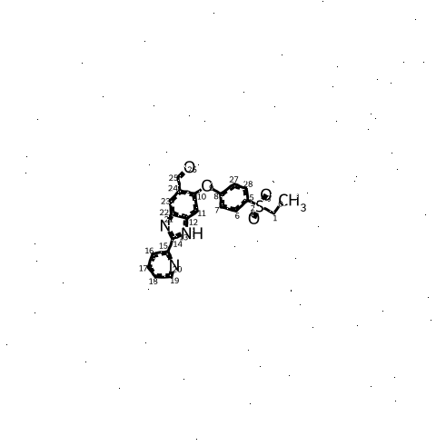 CCS(=O)(=O)c1ccc(Oc2cc3[nH]c(-c4ccccn4)nc3cc2C=O)cc1